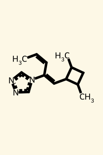 C/C=C\C(=C/C1C(C)CC1C)n1cnnc1